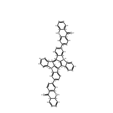 O=C1c2ccc(-c3ccc4c5c6c7ccccc7n7c8cc(-c9ccc%10c(=O)c%11ccccc%11oc%10c9)ccc8c(c8c9ccccc9n(c4c3)c85)c67)cc2OC2C=CC=CC12